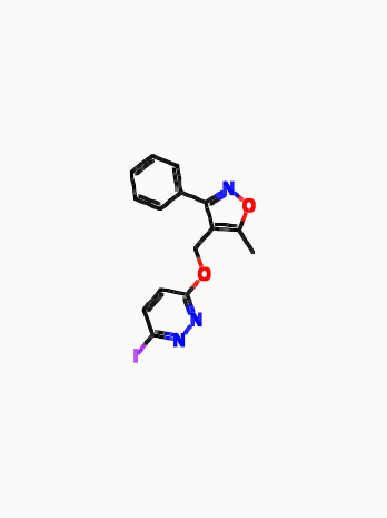 Cc1onc(-c2ccccc2)c1COc1ccc(I)nn1